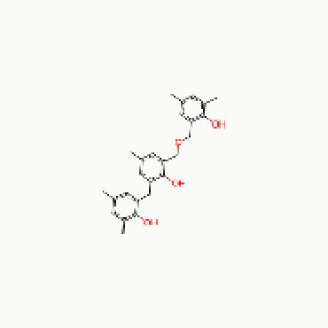 Cc1cc(C)c(O)c(COCc2cc(C)cc(Cc3cc(C)cc(C)c3O)c2O)c1